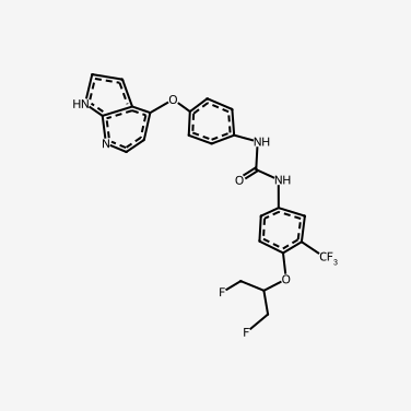 O=C(Nc1ccc(Oc2ccnc3[nH]ccc23)cc1)Nc1ccc(OC(CF)CF)c(C(F)(F)F)c1